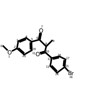 COc1ccc(C(=O)C(C)C(=O)c2ccc(Br)cc2)cc1